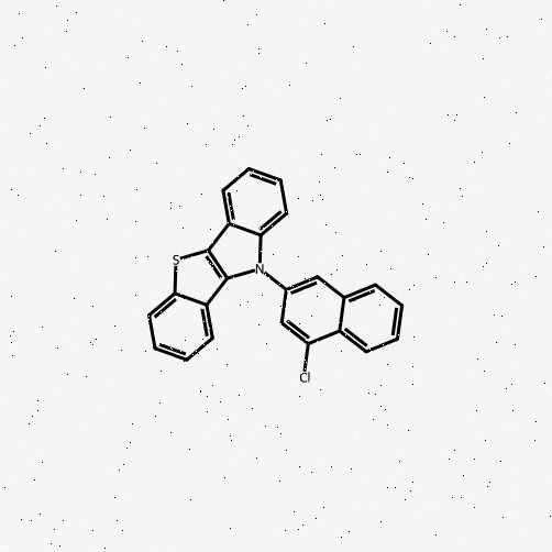 Clc1cc(-n2c3ccccc3c3sc4ccccc4c32)cc2ccccc12